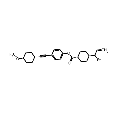 C=CC(CC)[C@H]1CC[C@H](C(=O)Oc2ccc(C#C[C@H]3CC[C@H](OC(F)(F)F)CC3)cc2)CC1